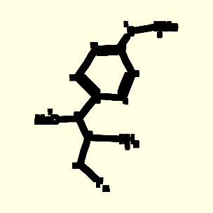 CNSc1ccc(C(OC)C(N)CF)cc1